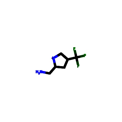 NCC1CC(C(F)(F)F)C[N]1